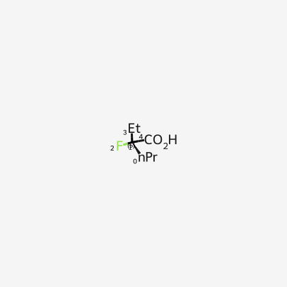 CCC[C@@](F)(CC)C(=O)O